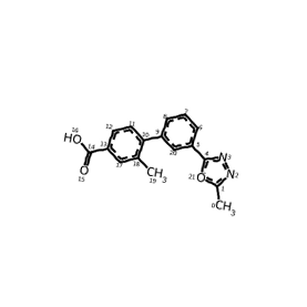 Cc1nnc(-c2cccc(-c3ccc(C(=O)O)cc3C)c2)o1